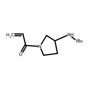 C=CC(=O)N1CCC(NC(C)(C)C)C1